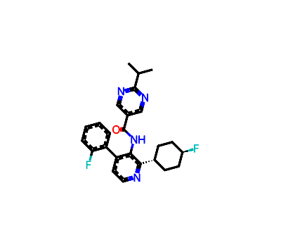 CC(C)c1ncc(C(=O)Nc2c(-c3ccccc3F)ccnc2[C@H]2CC[C@H](F)CC2)cn1